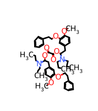 CCCN(CCC)C(Cc1ccc(OC)c(OCCc2ccccc2)c1)OC(=O)C(=O)OC(Cc1ccc(OC)c(OCCc2ccccc2)c1)N(CCC)CCC